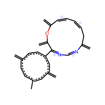 C=C1C/C=C\C=C/C(=C)OC(=C)/C(c2ccc(=C)ccc(C)cc(=C)c2)=N\C=N/1